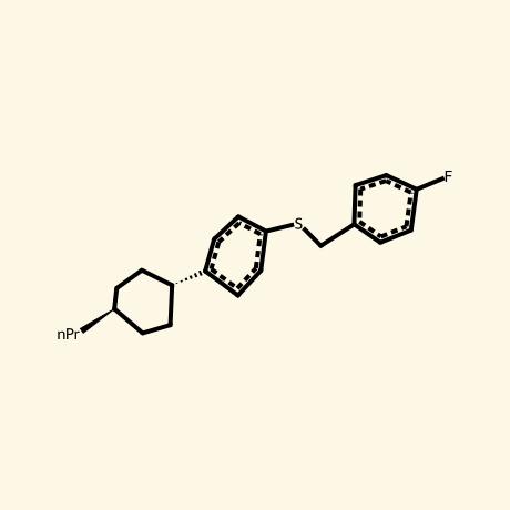 CCC[C@H]1CC[C@H](c2ccc(SCc3ccc(F)cc3)cc2)CC1